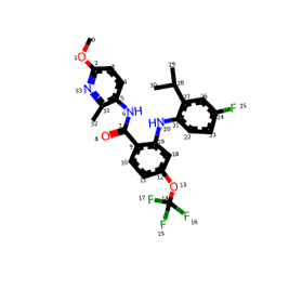 COc1ccc(NC(=O)c2ccc(OC(F)(F)F)cc2Nc2ccc(F)cc2C(C)C)c(C)n1